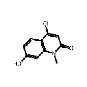 Cn1c(=O)cc(Cl)c2ccc(O)cc21